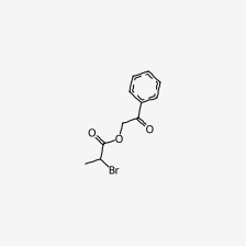 CC(Br)C(=O)OCC(=O)c1ccccc1